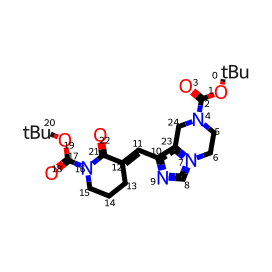 CC(C)(C)OC(=O)N1CCn2cnc(/C=C3\CCCN(C(=O)OC(C)(C)C)C3=O)c2C1